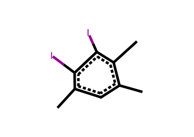 Cc1cc(C)c(I)c(I)c1C